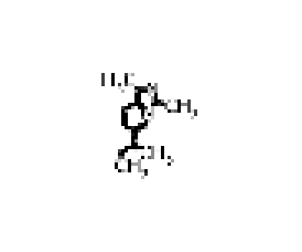 C=C(CC)c1ccc2c(C)nc(C)n2c1